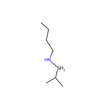 CCCCN[SiH2]C(C)C